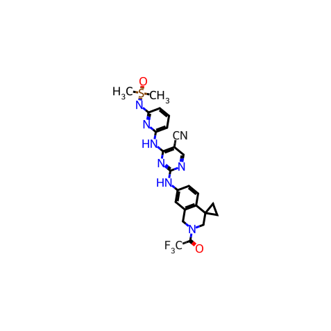 CS(C)(=O)=Nc1cccc(Nc2nc(Nc3ccc4c(c3)CN(C(=O)C(F)(F)F)CC43CC3)ncc2C#N)n1